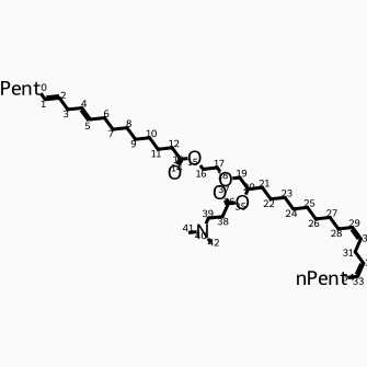 CCCCCC=CCC=CCCCCCCCC(=O)OCCOCC(CCCCCCCC/C=C\C/C=C\CCCCC)OC(=O)CCN(C)C